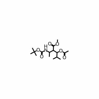 COC(=O)C(C(C)NC(=O)OC(C)(C)C)C(OC(C)=O)C(C)C